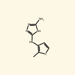 Cc1occc1Nc1nnc(N)[nH]1